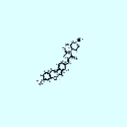 CC(C)N1CC[C@H](N2C(=O)S/C(=C\c3ccc4c(cnn4Cc4ccc(C(F)(F)F)cc4C(F)(F)F)c3)C2=O)[C@@H](F)C1